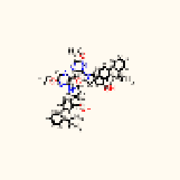 COc1cnc(C(=O)c2ncc(OC)nc2N2CCC3(CC(O)c4cc(-c5ccccc5C(C)C)ccc43)C2)c(N2CCC3(CC(O)c4cc(-c5ccccc5C(C)C)ccc43)C2)n1